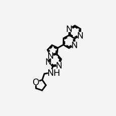 c1cnc2ncc(-c3ccn4nc(NCC5CCCO5)ncc34)cc2n1